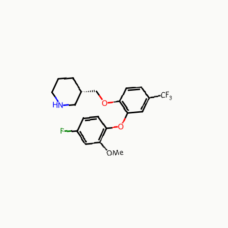 COc1cc(F)ccc1Oc1cc(C(F)(F)F)ccc1OC[C@H]1CCCNC1